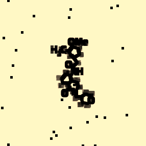 COc1ccc(CC(=O)Nc2cccc3c(=O)n(CC4CCOCC4)ccc23)cc1C